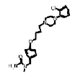 CN(Cc1ccc(OCCCCN2CCN(c3ccccc3Cl)CC2)cc1)C(N)=O